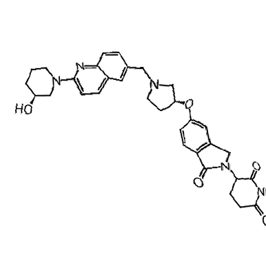 O=C1CCC(N2Cc3cc(O[C@H]4CCN(Cc5ccc6nc(N7CCC[C@H](O)C7)ccc6c5)C4)ccc3C2=O)C(=O)N1